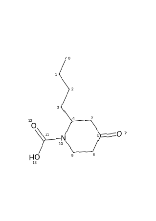 CCCCC1CC(=O)CCN1C(=O)O